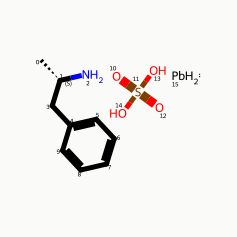 C[C@H](N)Cc1ccccc1.O=S(=O)(O)O.[PbH2]